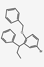 CCC(c1ccccc1)c1cc(Br)ccc1OCc1ccccc1